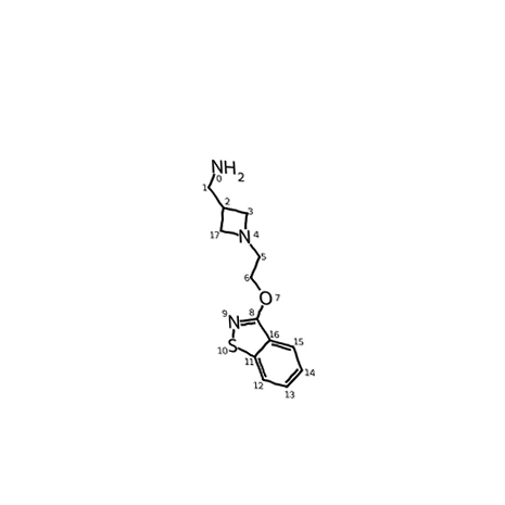 NCC1CN(CCOc2nsc3ccccc23)C1